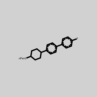 CCCCCC1CCC(c2ccc(-c3ccc(F)cc3)cc2)CC1